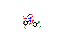 O=C(c1ccc(Cl)cc1NS(=O)(=O)c1ccc(Br)c(F)c1)N1CCOCC1